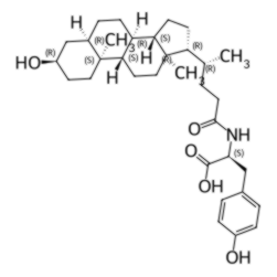 C[C@H](CCC(=O)N[C@@H](Cc1ccc(O)cc1)C(=O)O)[C@H]1CC[C@H]2[C@@H]3CC[C@@H]4C[C@H](O)CC[C@]4(C)[C@H]3CC[C@]12C